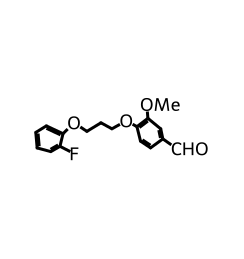 COc1cc(C=O)ccc1OCCCOc1ccccc1F